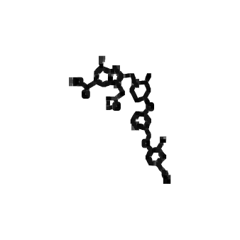 C[C@H]1C[C@@H](Oc2ccnc(COc3ccc(C#N)cc3F)c2)CCN1Cc1nc2c(F)cc(C(=O)O)cc2n1C[C@@H]1CCO1